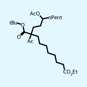 CCCCCC(CCC(CCCCCCCC(=O)OCC)(C(C)=O)C(=O)OC(C)(C)C)OC(C)=O